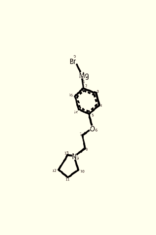 [Br][Mg][c]1ccc(OCCN2CCCC2)cc1